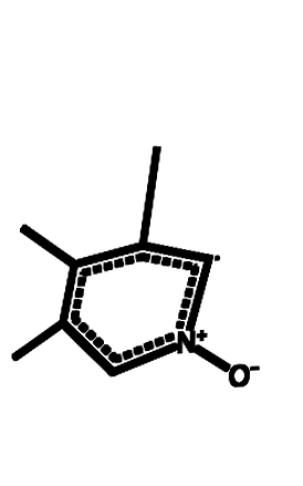 Cc1[c][n+]([O-])cc(C)c1C